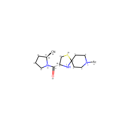 CC(=O)N1CCC2(CC1)N[C@H](C(=O)N1CCC[C@H]1C#N)CS2